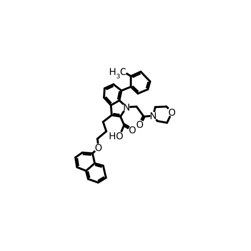 Cc1ccccc1-c1cccc2c(CCCOc3cccc4ccccc34)c(C(=O)O)n(CC(=O)N3CCOCC3)c12